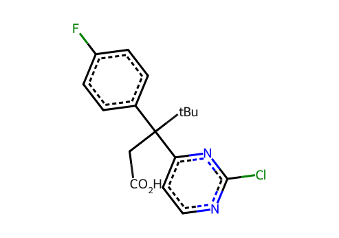 CC(C)(C)C(CC(=O)O)(c1ccc(F)cc1)c1ccnc(Cl)n1